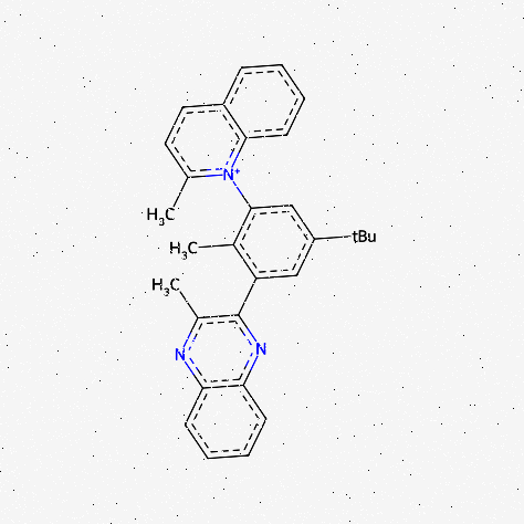 Cc1nc2ccccc2nc1-c1cc(C(C)(C)C)cc(-[n+]2c(C)ccc3ccccc32)c1C